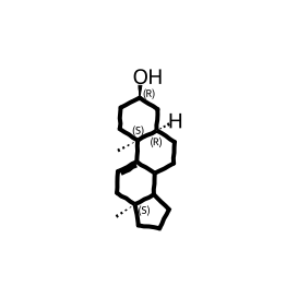 C[C@]12CC=C3C(CC[C@@H]4C[C@H](O)CC[C@]34C)C1CCC2